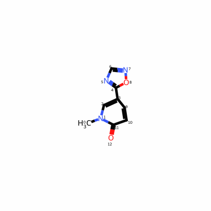 Cn1cc(-c2ncno2)ccc1=O